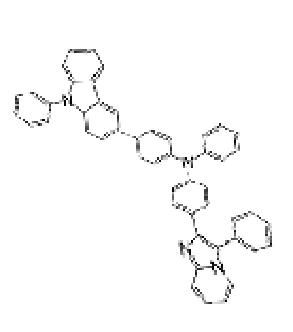 c1ccc(-c2c(-c3ccc(N(c4ccccc4)c4ccc(-c5ccc6c(c5)c5ccccc5n6-c5ccccc5)cc4)cc3)nc3ccccn23)cc1